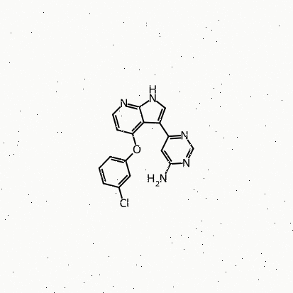 Nc1cc(-c2c[nH]c3nccc(Oc4cccc(Cl)c4)c23)ncn1